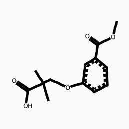 COC(=O)c1cccc(OCC(C)(C)C(=O)O)c1